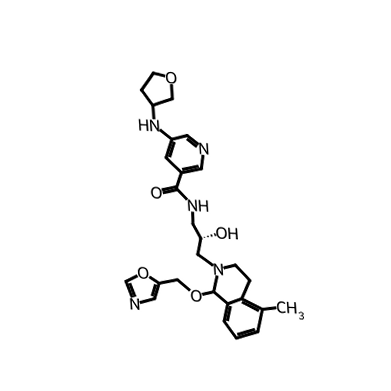 Cc1cccc2c1CCN(C[C@@H](O)CNC(=O)c1cncc(NC3CCOC3)c1)C2OCc1cnco1